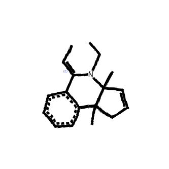 C/C=C1/c2ccccc2C2(C)CC=CC2(C)N1CC